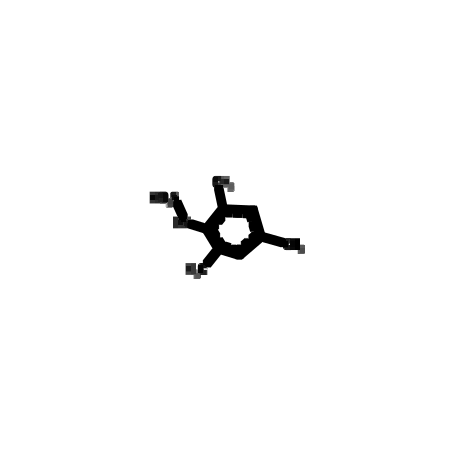 Cc1cc(C)c(NS(=O)(=O)O)c(C)c1